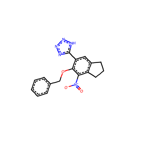 O=[N+]([O-])c1c2c(cc(-c3nnn[nH]3)c1OCc1ccccc1)CCC2